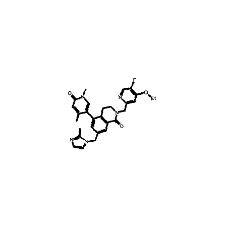 CCOc1cc(CN2CCc3c(cc(Cn4ccnc4C)cc3-c3cn(C)c(=O)cc3C)C2=O)ncc1F